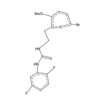 COc1ccc(Br)cc1CCNC(=S)Nc1cc(F)ccc1F